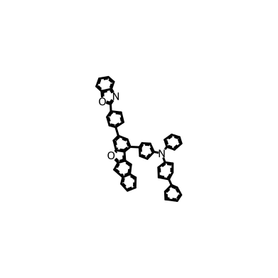 c1ccc(-c2ccc(N(c3ccccc3)c3ccc(-c4cc(-c5ccc(-c6nc7ccccc7o6)cc5)cc5oc6cc7ccccc7cc6c45)cc3)cc2)cc1